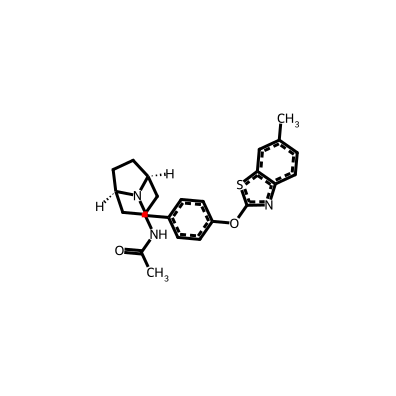 CC(=O)NC1C[C@H]2CC[C@@H](C1)N2Cc1ccc(Oc2nc3ccc(C)cc3s2)cc1